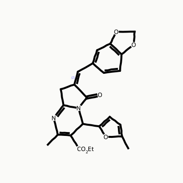 CCOC(=O)C1=C(C)N=C2C/C(=C/c3ccc4c(c3)OCO4)C(=O)N2C1c1ccc(C)o1